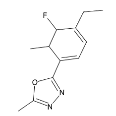 CCC1=CC=C(c2nnc(C)o2)C(C)C1F